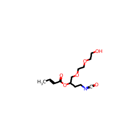 C/C=C/C(=O)OC(CCN=C=O)COCCOCCO